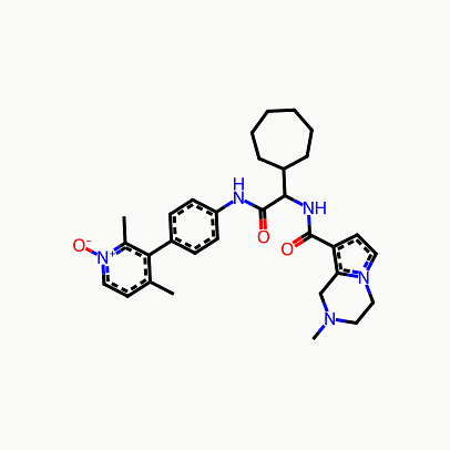 Cc1cc[n+]([O-])c(C)c1-c1ccc(NC(=O)C(NC(=O)c2ccn3c2CN(C)CC3)C2CCCCCC2)cc1